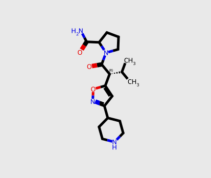 CC(C)[C@@H](C(=O)N1CCCC1C(N)=O)c1cc(C2CCNCC2)no1